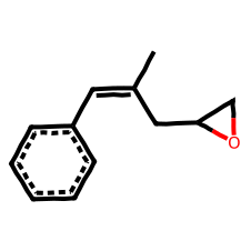 CC(=Cc1ccccc1)CC1CO1